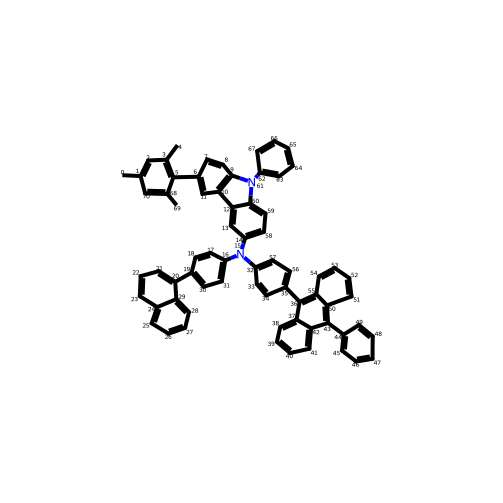 Cc1cc(C)c(-c2ccc3c(c2)c2cc(N(c4ccc(-c5cccc6ccccc56)cc4)c4ccc(-c5c6ccccc6c(-c6ccccc6)c6ccccc56)cc4)ccc2n3-c2ccccc2)c(C)c1